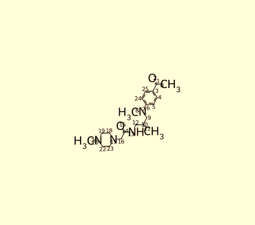 CC(=O)c1ccc(N(C)CC(C)CNC(=O)CN2CCN(C)CC2)cc1